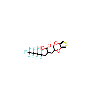 O=C(O)C(CC1COc2cscc2O1)CC(F)(F)C(F)(F)C(F)(F)C(F)(F)F